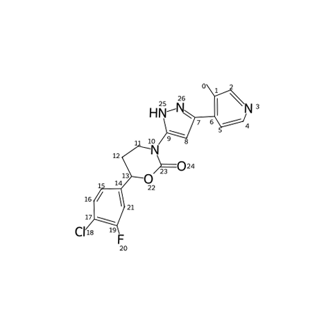 Cc1cnccc1-c1cc(N2CCC(c3ccc(Cl)c(F)c3)OC2=O)[nH]n1